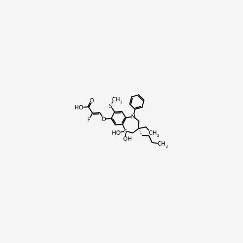 CCCC[C@@]1(CC)CN(c2ccccc2)c2cc(SC)c(O/C=C(\F)C(=O)O)cc2S(O)(O)C1